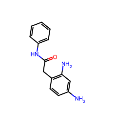 Nc1ccc(CC(=O)Nc2ccccc2)c(N)c1